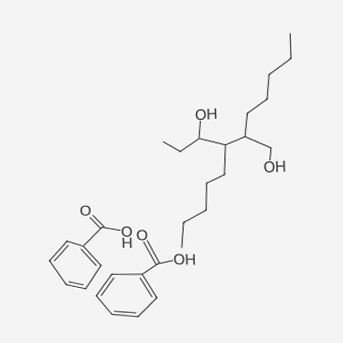 CCCCCC(CO)C(CCCCC)C(O)CC.O=C(O)c1ccccc1.O=C(O)c1ccccc1